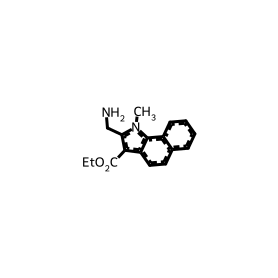 CCOC(=O)c1c(CN)n(C)c2c1ccc1ccccc12